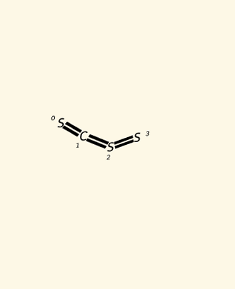 S=C=S=S